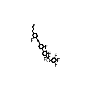 C=CCCc1ccc(C#Cc2ccc(-c3ccc(C(F)(F)Oc4cc(F)c(F)c(F)c4)c(F)c3)c(F)c2)c(F)c1